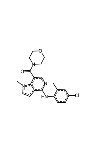 Cc1cc(Cl)ccc1Nc1ncc(C(=O)N2CCOCC2)c2c1ccn2C